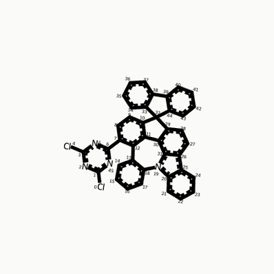 Clc1nc(Cl)nc(-c2ccc3c4c2-c2ccccc2-n2c5ccccc5c5ccc(c-4c52)C32c3ccccc3-c3ccccc32)n1